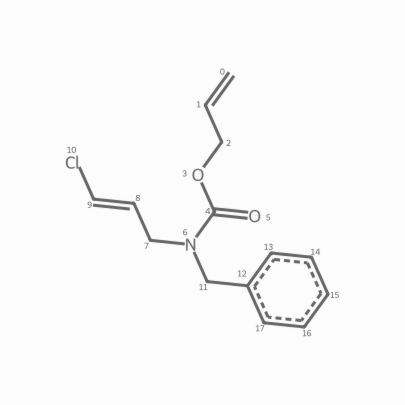 C=CCOC(=O)N(CC=CCl)Cc1ccccc1